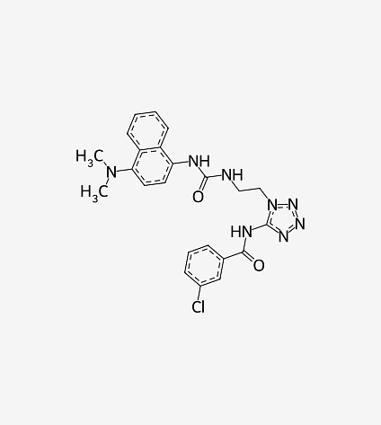 CN(C)c1ccc(NC(=O)NCCn2nnnc2NC(=O)c2cccc(Cl)c2)c2ccccc12